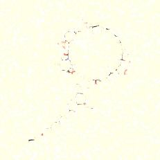 C=COC(=O)OCCCCOC(=O)O[C@@H]1CC[C@@H](C[C@@H](C)[C@@H]2CC(=O)C/C=C(\C)[C@@H](O)[C@@H](OC)C(=O)[C@H](C)C[C@H](C)/C=C/C=C/C=C(\C)[C@@H](OC)C[C@@H]3CC[C@@H](C)[C@@](O)(O3)C(=O)C(=O)N3CCCC[C@H]3C(=O)O2)C[C@H]1OC